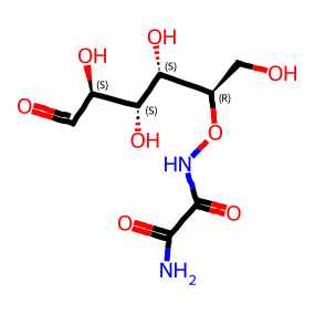 NC(=O)C(=O)NO[C@H](CO)[C@@H](O)[C@H](O)[C@H](O)C=O